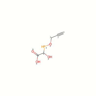 C#CCOPC(O)C(=O)O